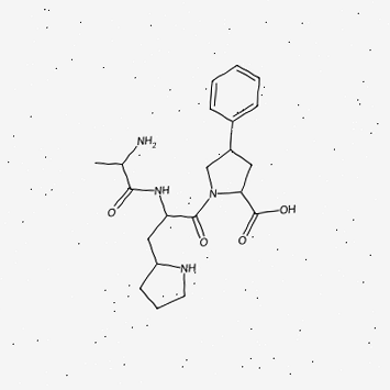 CC(N)C(=O)NC(CC1CCCN1)C(=O)N1CC(c2ccccc2)CC1C(=O)O